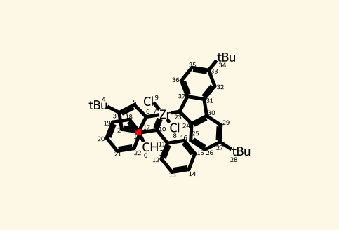 CC1=CC(C(C)(C)C)=C[CH]1[Zr]([Cl])([Cl])(=[C](c1ccccc1)c1ccccc1)[CH]1c2ccc(C(C)(C)C)cc2-c2cc(C(C)(C)C)ccc21